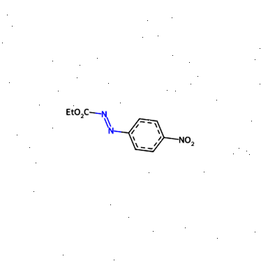 CCOC(=O)N=Nc1ccc([N+](=O)[O-])cc1